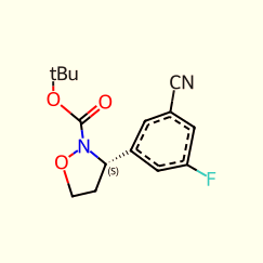 CC(C)(C)OC(=O)N1OCC[C@H]1c1cc(F)cc(C#N)c1